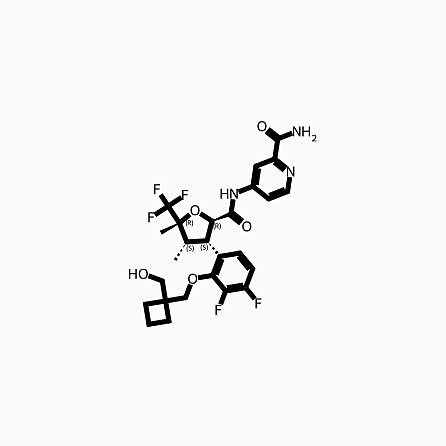 C[C@H]1[C@@H](c2ccc(F)c(F)c2OCC2(CO)CCC2)[C@H](C(=O)Nc2ccnc(C(N)=O)c2)O[C@@]1(C)C(F)(F)F